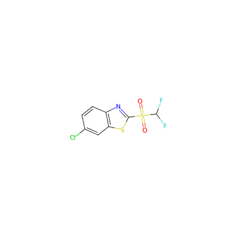 O=S(=O)(c1nc2ccc(Cl)cc2s1)C(F)F